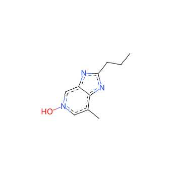 CCCc1nc2cn(O)cc(C)c-2n1